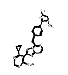 COc1ncnc(C2CC2)c1-c1nc2ccnc(Cc3ccc(-c4nc(C(F)(F)F)cn4C)cc3)n2n1